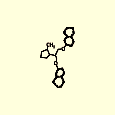 CC1CCCC1C(COc1ccc2ccccc2c1)COc1ccc2ccccc2c1